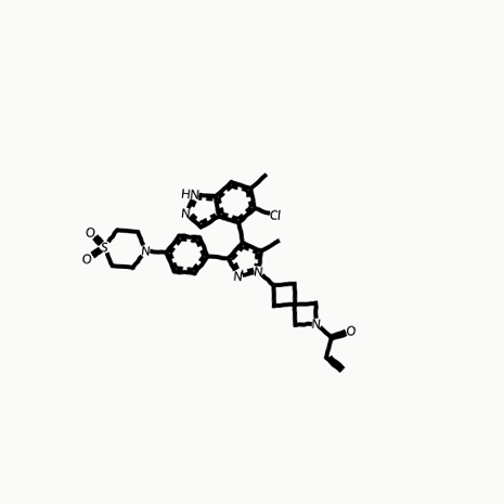 C=CC(=O)N1CC2(CC(n3nc(-c4ccc(N5CCS(=O)(=O)CC5)cc4)c(-c4c(Cl)c(C)cc5[nH]ncc45)c3C)C2)C1